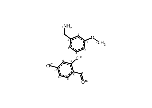 COc1cccc(CN)c1.O=Cc1ccc(Cl)cc1Cl